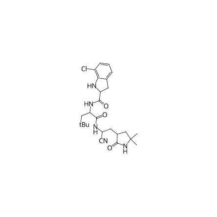 CC(C)(C)CC(NC(=O)C1Cc2cccc(Cl)c2N1)C(=O)NC(C#N)CC1CC(C)(C)NC1=O